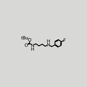 CC(C)(C)OC(=O)NCCCCNCc1ccc(F)cc1